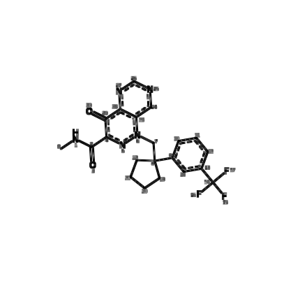 CNC(=O)c1nn(CC2(c3cccc(C(F)(F)F)c3)CCCC2)c2cncnc2c1=O